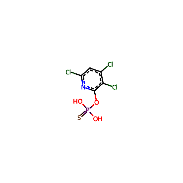 OP(O)(=S)Oc1nc(Cl)cc(Cl)c1Cl